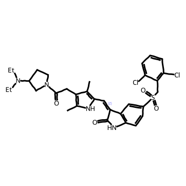 CCN(CC)C1CCN(C(=O)Cc2c(C)[nH]c(/C=C3\C(=O)Nc4ccc(S(=O)(=O)Cc5c(Cl)cccc5Cl)cc43)c2C)C1